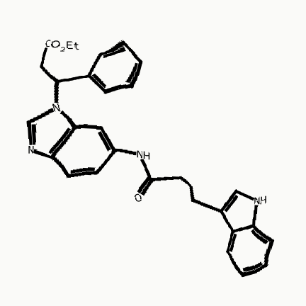 CCOC(=O)CC(c1ccccc1)n1cnc2ccc(NC(=O)CCc3c[nH]c4ccccc34)cc21